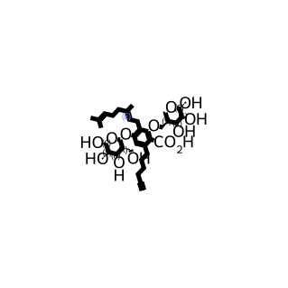 C#CCCCCc1cc(OC2O[C@H](O)[C@@H](O)[C@H](O)[C@H]2CO)c(C/C=C(\C)CCC=C(C)C)c(OC[C@H]2CO[C@H](O)[C@@H](O)[C@@H]2O)c1C(=O)O